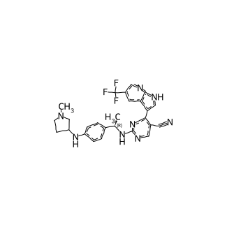 C[C@@H](Nc1ncc(C#N)c(-c2c[nH]c3ncc(C(F)(F)F)cc23)n1)c1ccc(NC2CCN(C)C2)cc1